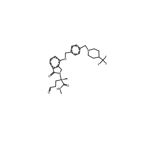 CNC(=O)[C@](C)(CCC=O)N1Cc2c(OCc3ccc(CN4CCC(C(F)(F)F)CC4)cc3)cccc2C1=O